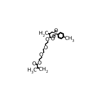 C=C(C)C(=O)OCCOCCOCCOC(=O)C(=C)CS(=O)(=O)c1ccc(C)cc1